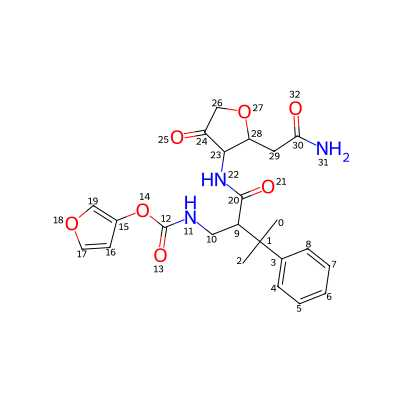 CC(C)(c1ccccc1)C(CNC(=O)Oc1ccoc1)C(=O)NC1C(=O)COC1CC(N)=O